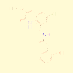 O=C(Cc1ccccc1O)NCc1cc(Cl)cc2cc(C(=O)O)c(=O)[nH]c12